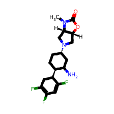 CN1C(=O)O[C@@H]2CN([C@H]3CC[C@H](C4CC(F)=C(F)C=C4F)C(N)C3)C[C@@H]21